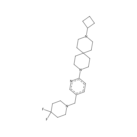 FC1(F)CCN(Cc2ccc(N3CCC4(CC3)CCN(C3CCC3)CC4)nc2)CC1